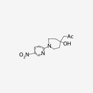 CC(=O)CC1(O)CCN(c2ccc([N+](=O)[O-])cn2)CC1